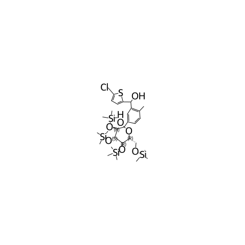 Cc1ccc(C2(O)O[C@H](CO[Si](C)(C)C)[C@@H](O[Si](C)(C)C)[C@H](O[Si](C)(C)C)[C@H]2O[Si](C)(C)C)cc1C(O)c1ccc(Cl)s1